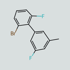 Cc1cc(F)cc(-c2c(F)cccc2Br)c1